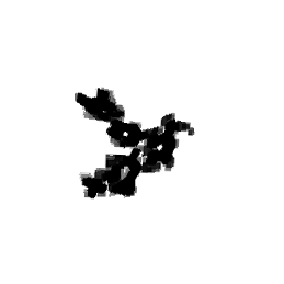 Cc1nn(-c2cncc(Nc3nc(N[C@H](C4CC4)[C@H](C)NC(=O)OC(C)(C)C)c(F)cc3C(N)=O)c2)nc1C